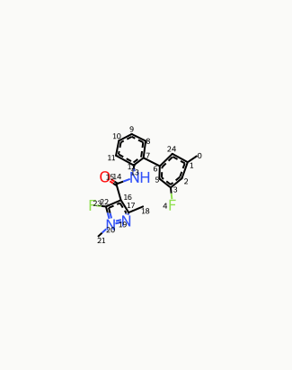 Cc1cc(F)cc(-c2ccccc2NC(=O)c2c(C)nn(C)c2F)c1